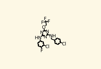 Fc1ccc(Nc2nc(NCc3ccc(Cl)cc3)nc(OCC(F)(F)F)n2)cc1Cl